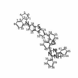 C1=CC2C(CC1)c1ccccc1N2c1ccc2c(c1)sc1cc(-c3cccc4oc5c(C6=NC(c7ccccc7)NC(c7ccccc7)=N6)cccc5c34)ccc12